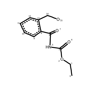 CCOC(=O)NC(=O)c1ccccc1C[O]